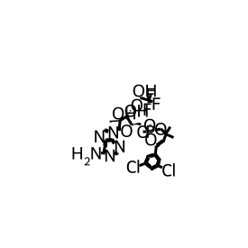 CC1(C)C=C(c2cc(Cl)cc(Cl)c2)OP(=O)(OC[C@H]2O[C@@H](n3cnc4c(N)ncnc43)[C@](C)(O)[C@@H]2O)O1.O=C(O)C(F)(F)F